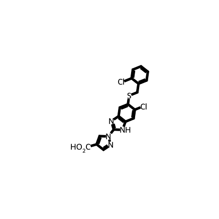 O=C(O)c1cnn(-c2nc3cc(SCc4ccccc4Cl)c(Cl)cc3[nH]2)c1